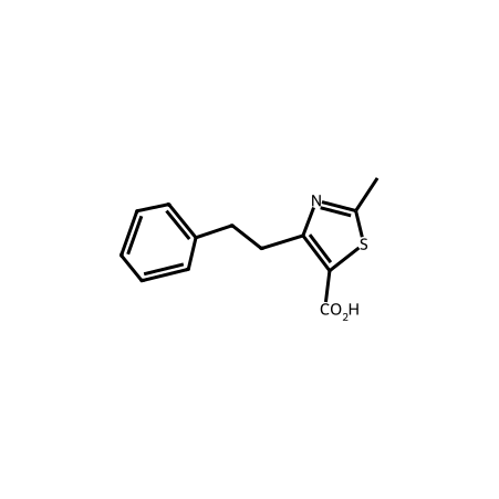 Cc1nc(CCc2ccccc2)c(C(=O)O)s1